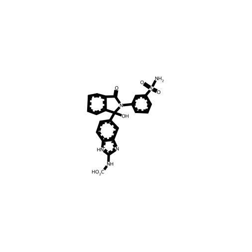 NS(=O)(=O)c1cccc(N2C(=O)c3ccccc3C2(O)c2ccc3[nH]c(NC(=O)O)nc3c2)c1